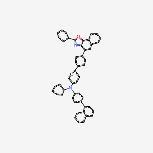 c1ccc(-c2nc3c(-c4ccc(-c5ccc(N(c6ccccc6)c6ccc(-c7cccc8ccccc78)cc6)cc5)cc4)cc4ccccc4c3o2)cc1